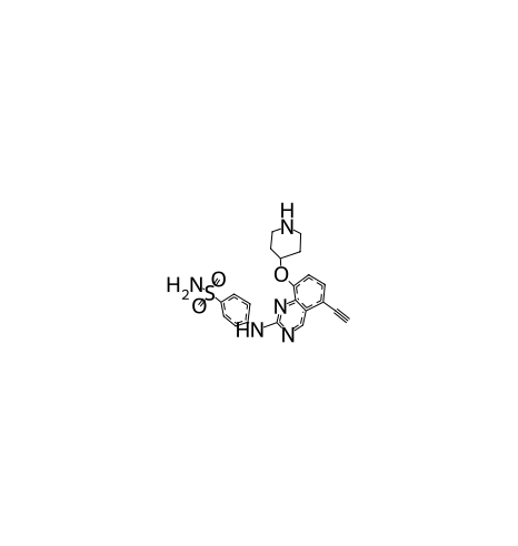 C#Cc1ccc(OC2CCNCC2)c2nc(Nc3ccc(S(N)(=O)=O)cc3)ncc12